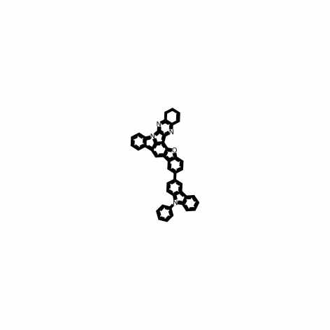 C1=Cc2nc3c4c5oc6ccc(-c7ccc8c(c7)c7ccccc7n8-c7ccccc7)cc6c5cc5c6ccccc6n(c3nc2CC1)c54